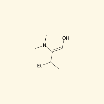 CCC(C)C(=CO)N(C)C